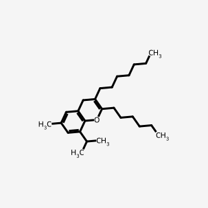 CCCCCCCC1=C(CCCCCC)Oc2c(cc(C)cc2C(C)C)C1